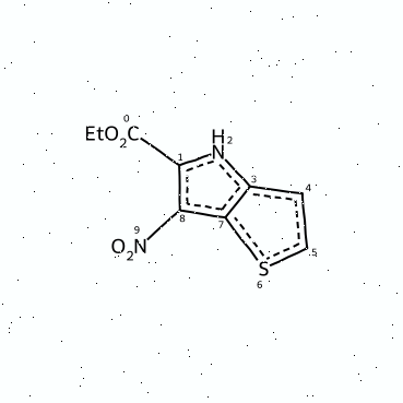 CCOC(=O)c1[nH]c2ccsc2c1[N+](=O)[O-]